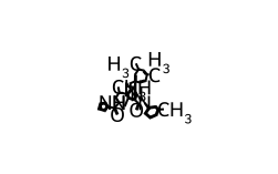 CC1=CC(C)C=C(Cn2nc(C(=O)Nc3cccc(C)c3)c3c2C(C)CN(C(=O)c2ccc[nH]2)C3)C=C1